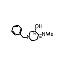 CN[C@@H]1CCN(Cc2ccccc2)C[C@H]1O